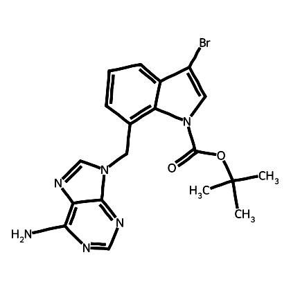 CC(C)(C)OC(=O)n1cc(Br)c2cccc(Cn3cnc4c(N)ncnc43)c21